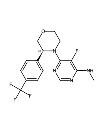 CNc1ncnc(N2CCOC[C@@H]2c2ccc(C(F)(F)F)cc2)c1F